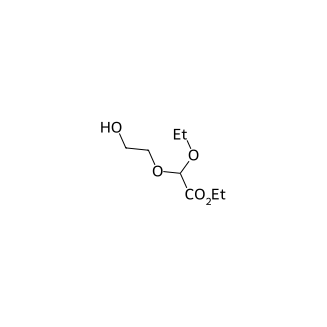 CCOC(=O)C(OCC)OCCO